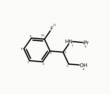 CC(C)NC(CO)c1ccccc1F